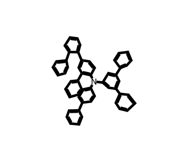 c1ccc(-c2ccc(N(c3cc(-c4ccccc4)cc(-c4ccccc4)c3)c3ccc(-c4ccccc4-c4ccccc4)cc3-c3ccccc3)cc2)cc1